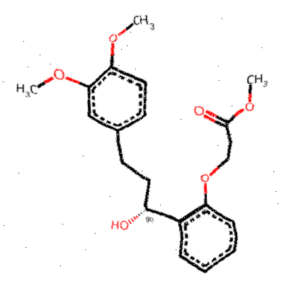 COC(=O)COc1ccccc1[C@H](O)CCc1ccc(OC)c(OC)c1